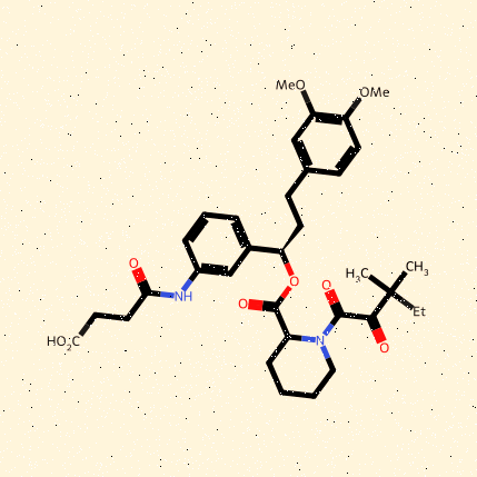 CCC(C)(C)C(=O)C(=O)N1CCCCC1C(=O)O[C@H](CCc1ccc(OC)c(OC)c1)c1cccc(NC(=O)CCC(=O)O)c1